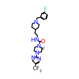 C[C@@H]1CN(c2ncc(C(F)(F)F)cn2)CCN1C(=O)NCCC1CCN(Cc2cccc(F)c2)CC1